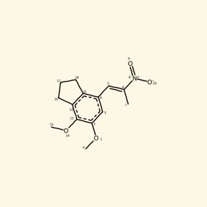 COc1cc(/C=C(\C)[N+](=O)[O-])c2c(c1OC)CCC2